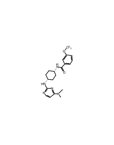 CN(C)c1ccnc(N[C@H]2CC[C@@H](NC(=O)c3cccc(OC(F)(F)F)c3)CC2)n1